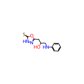 OC(CNc1ccccc1)Cc1n[nH]c(=S)o1